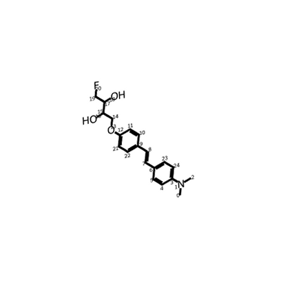 CN(C)c1ccc(/C=C/c2ccc(OCC(O)C(O)CF)cc2)cc1